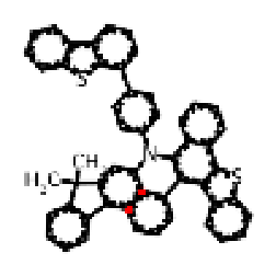 CC1(C)c2ccccc2-c2ccc(N(c3ccc(-c4cccc5c4sc4ccccc45)cc3)c3c(-c4ccccc4)c4c5ccccc5sc4c4ccccc34)cc21